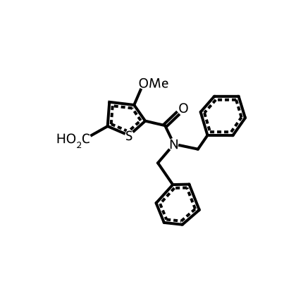 COc1cc(C(=O)O)sc1C(=O)N(Cc1ccccc1)Cc1ccccc1